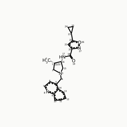 C[C@H]1CN(Cc2ccnc3ccccc23)C[C@H]1NC(=O)c1cc(C2CC2)on1